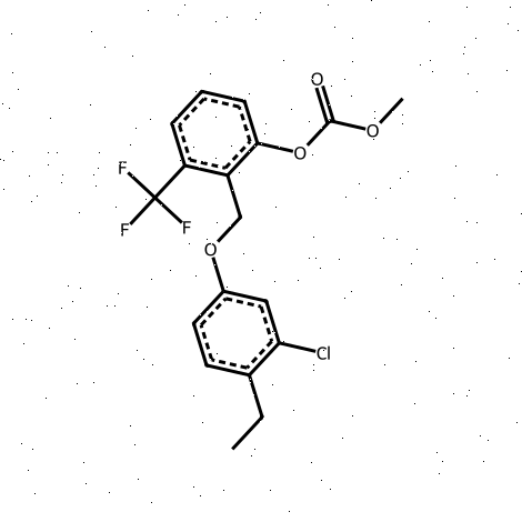 CCc1ccc(OCc2c(OC(=O)OC)cccc2C(F)(F)F)cc1Cl